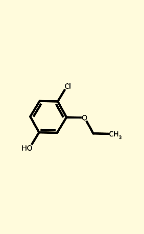 CCOc1cc(O)ccc1Cl